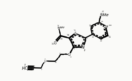 C#CCOCCOc1nc(-c2ccnc(NC)c2)sc1C(=O)NC